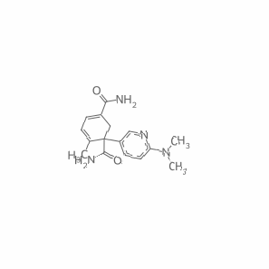 CC1=CC=C(C(N)=O)CC1(C(N)=O)c1ccc(N(C)C)nc1